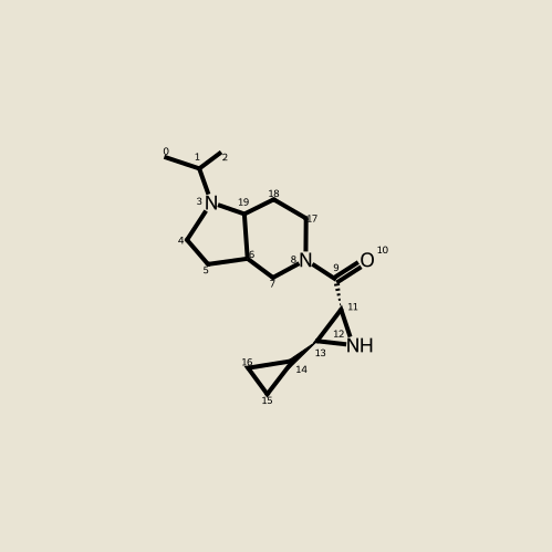 CC(C)N1CCC2CN(C(=O)[C@@H]3N[C@H]3C3CC3)CCC21